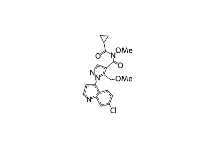 COCc1c(C(=O)N(OC)C(=O)C2CC2)cnn1-c1ccnc2cc(Cl)ccc12